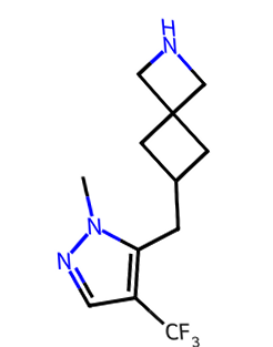 Cn1ncc(C(F)(F)F)c1CC1CC2(CNC2)C1